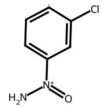 N[N+](=O)c1cc[c]c(Cl)c1